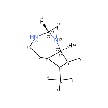 CC1C(C(C)(C)C)C2CCN[C@@H]3CN3[C@@H]12